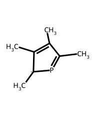 C[C]1P=C(C)C(C)=C1C